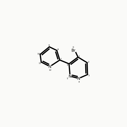 Brc1ccnnc1-c1ccccn1